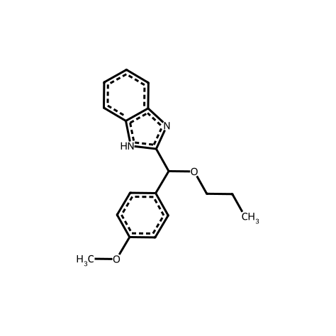 CCCOC(c1ccc(OC)cc1)c1nc2ccccc2[nH]1